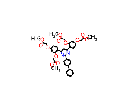 COC(=O)COc1ccc(-c2cc(-c3ccc(OCC(=O)OC)cc3OCC(=O)OC)nc(-c3ccc(-c4ccccc4)cc3)n2)c(OCC(=O)OC)c1